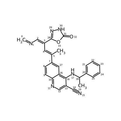 C=N/C=C(\C=C(/C)c1ccc2ncc(C#N)c(NC(C)c3ccccc3)c2c1)c1n[nH]c(=O)o1